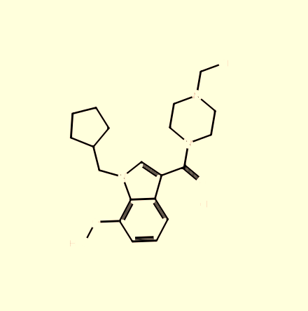 CCN1CCN(C(=O)c2cn(CC3CCCC3)c3c(OC)cccc23)CC1.Cl